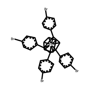 Brc1ccc([C]23[CH]4[C]5(c6ccc(Br)cc6)[C]6(c7ccc(Br)cc7)[C]2(c2ccc(Br)cc2)[Fe]43562789[CH]3[CH]2[CH]7[CH]8[CH]39)cc1